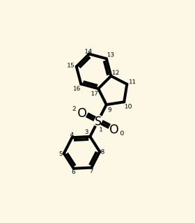 O=S(=O)(c1ccccc1)C1CCc2ccccc21